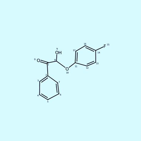 O=C(c1ccccc1)C(O)Oc1ccc(F)cc1